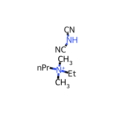 CCC[N+](C)(C)CC.N#CNC#N